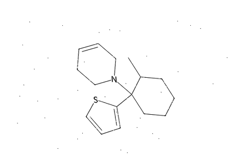 CC1CCCCC1(c1cccs1)N1CC=CCC1